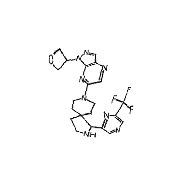 FC(F)(F)c1cncc(C2NCCC23CCN(c2cnc4cnn(C5COC5)c4n2)CC3)n1